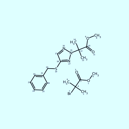 COC(=O)C(C)(C)Br.COC(=O)C(C)(C)n1ncc(SCc2ccccc2)n1